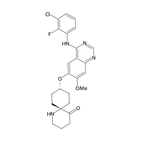 COc1cc2ncnc(Nc3cccc(Cl)c3F)c2cc1O[C@H]1CC[C@]2(CC1)NCCCC2=O